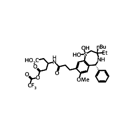 CCCC[C@]1(CC)CS(O)(O)c2cc(CCC(=O)NC(CC(=O)O)CC(=O)OC(=O)C(F)(F)F)c(OC)cc2[C@@H](c2ccccc2)N1